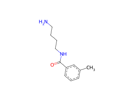 Cc1cccc(C(=O)NCCCCN)c1